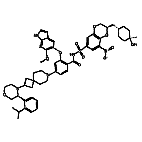 COc1nc2[nH]ccc2cc1Oc1cc(N2CCC3(CC2)CC(N2CCOC[C@@H]2c2ccccc2C(C)C)C3)ccc1C(=O)NS(=O)(=O)c1cc2c(c([N+](=O)[O-])c1)O[C@H](C[C@H]1CC[C@](C)(O)CC1)CO2